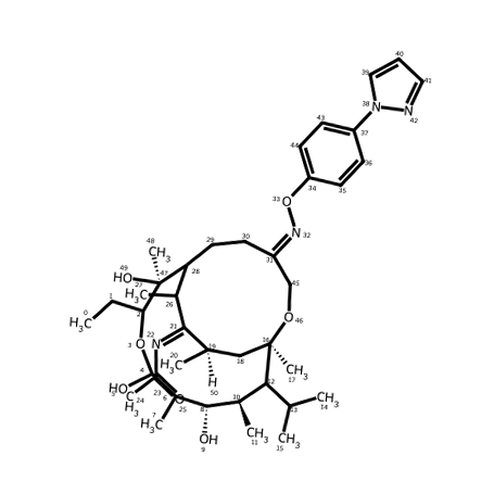 CCC1OC(O)C(C)[C@@H](O)[C@H](C)C(C(C)C)[C@@]2(C)C[C@@H](C)/C(=N\C(C)=O)C(C)C(CC/C(=N\Oc3ccc(-n4cccn4)cc3)CO2)[C@]1(C)O